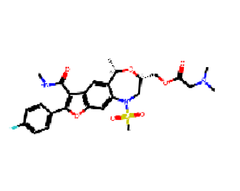 CNC(=O)c1c(-c2ccc(F)cc2)oc2cc3c(cc12)[C@H](C)O[C@H](COC(=O)CN(C)C)CN3S(C)(=O)=O